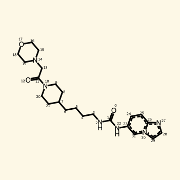 O=C(NCCCCC1CCN(C(=O)CN2CCOCC2)CC1)Nc1ccc2nccn2c1